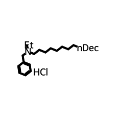 CCCCCCCCCCCCCCCCCCN(CC)Cc1ccccc1.Cl